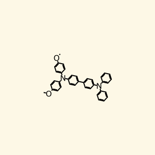 COc1ccc(N(c2ccc(OC)cc2)c2ccc(-c3ccc(N(c4ccccc4)c4ccccc4)cc3)cc2)cc1